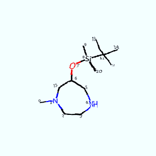 CN1CCNCC(O[Si](C)(C)C(C)(C)C)C1